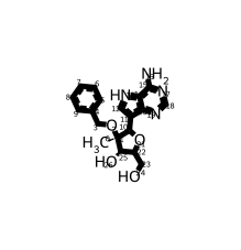 C[C@]1(OCc2ccccc2)C(c2c[nH]c3c(N)ncnc23)OC(CO)[C@H]1O